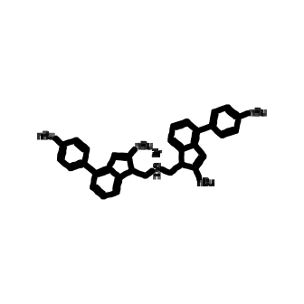 CCCCC1=Cc2c(-c3ccc(CCCC)cc3)cccc2C1C[SiH]([Zr])CC1C(CCCC)=Cc2c(-c3ccc(CCCC)cc3)cccc21